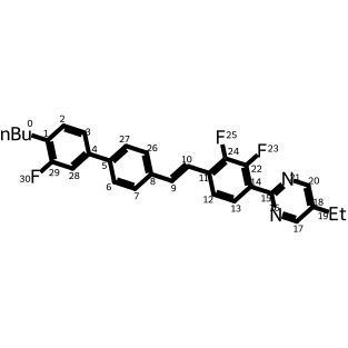 CCCCc1ccc(-c2ccc(/C=C/c3ccc(-c4ncc(CC)cn4)c(F)c3F)cc2)cc1F